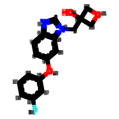 OC1(Cn2cnc3ccc(Oc4cccc(F)c4)cc32)COC1